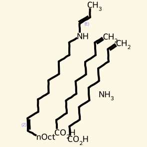 C/C=C/NCCCCCCCC/C=C\CCCCCCCC.C=CCCCCCCCCC(=O)O.C=CCCCCCCCCC(=O)O.N